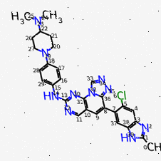 Cc1nc2cc(Cl)c(-c3cc4cnc(Nc5ccc(N6CCC(N(C)C)CC6)cc5)nc4n4cnnc34)cc2[nH]1